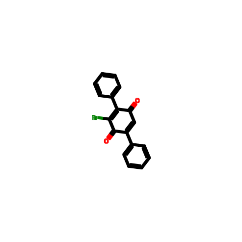 O=C1C=C(c2ccccc2)C(=O)C(Br)=C1c1ccccc1